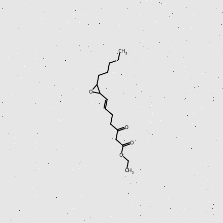 CCCCCC1OC1C=CCCC(=O)CC(=O)OCC